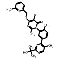 Cc1cccc(COc2nc(C)n(-c3cc(-c4nc(C(C)(C)O)ncc4C)ccc3C)c(=O)c2Br)n1